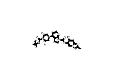 Cc1nc2cc(F)c(NC(=O)N3CCc4c(N5C[C@@H](C)N(C(=O)OC(C)(C)C)[C@@H](C)C5)ccnc43)cn2n1